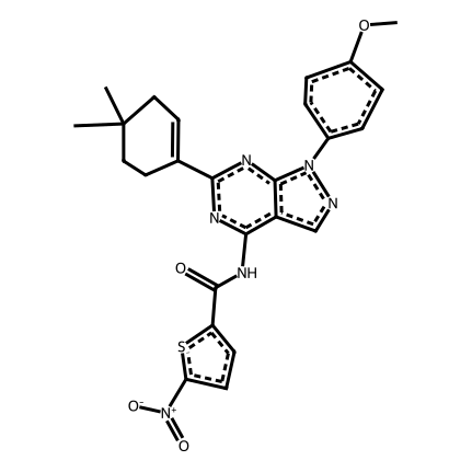 COc1ccc(-n2ncc3c(NC(=O)c4ccc([N+](=O)[O-])s4)nc(C4=CCC(C)(C)CC4)nc32)cc1